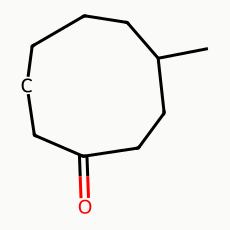 CC1CCCCCC(=O)CC1